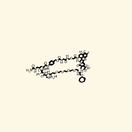 CC[C@@]1(O)C(=O)OCc2c1cc1n(c2=O)Cc2c-1nc1cc(F)c(C)c3c1c2[C@@H](NC(=O)COCNC(=O)CNC(=O)OCc1ccc(NC(=O)[C@H](CCCNC(N)=O)NC(=O)[C@@H](NC(=O)[C@H](CS(=O)(=O)O)NC(=O)CCOCCOCCOCCOCCNC(=O)COC2C#CCCCCC2)C(C)C)cc1)CC3